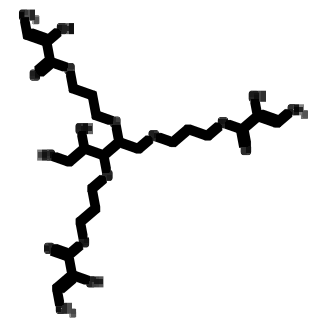 CC=C(O)C(=O)OCCCOCC(OCCCOC(=O)C(O)=CC)C(OCCCOC(=O)C(O)=CC)C(O)CO